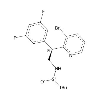 CC(C)(C)[S+]([O-])NC[C@@H](c1cc(F)cc(F)c1)c1ncccc1Br